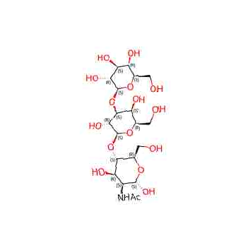 CC(=O)N[C@H]1[C@@H](O)[C@H](O[C@@H]2O[C@H](CO)[C@H](O)[C@H](O[C@@H]3O[C@H](CO)[C@H](O)[C@H](O)[C@H]3O)[C@H]2O)[C@@H](CO)O[C@@H]1O